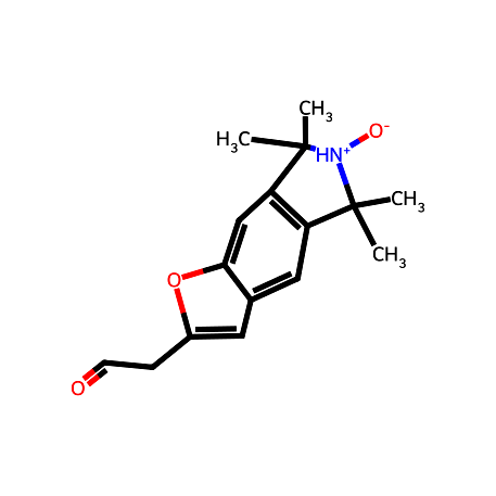 CC1(C)c2cc3cc(CC=O)oc3cc2C(C)(C)[NH+]1[O-]